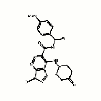 CCC(NC(=O)c1cnc2c(cnn2CC)c1NC1CCC(=O)CC1)c1ccc(OC)cc1